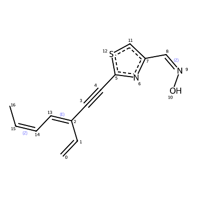 C=C/C(C#Cc1nc(/C=N\O)cs1)=C\C=C/C